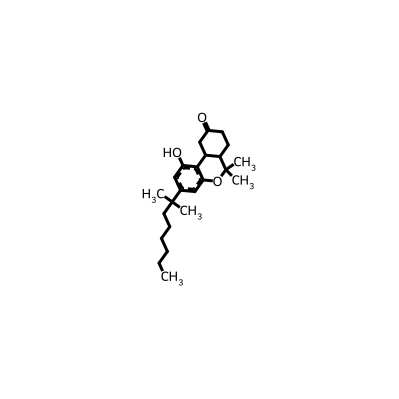 CCCCCCC(C)(C)c1cc(O)c2c(c1)OC(C)(C)C1CCC(=O)CC21